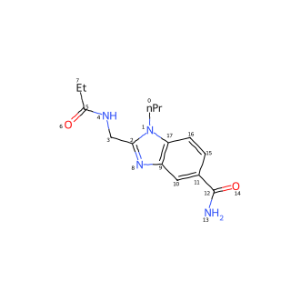 CCCn1c(CNC(=O)CC)nc2cc(C(N)=O)ccc21